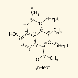 CCCCCCCOC(C)Cc1ccc(O)c(CC(C)OCCCCCCC)c1CC(C)OCCCCCCC